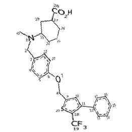 CN(Cc1ccc(OCc2cc(-c3ccccc3)c(C(F)(F)F)s2)cc1)C1CCCC(C(=O)O)C1